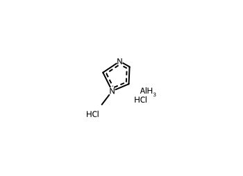 Cl.Cl.Cn1ccnc1.[AlH3]